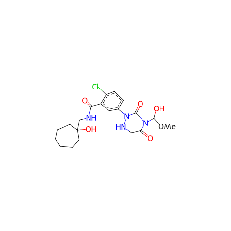 COC(O)N1C(=O)CNN(c2ccc(Cl)c(C(=O)NCC3(O)CCCCCC3)c2)C1=O